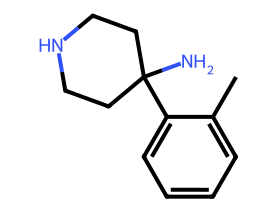 Cc1ccccc1C1(N)CCNCC1